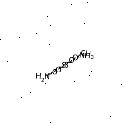 CNCCOCOCCSSCCOCOCCCN